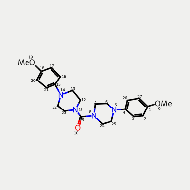 COc1ccc(N2CCN(C(=O)N3CCN(c4ccc(OC)cc4)CC3)CC2)cc1